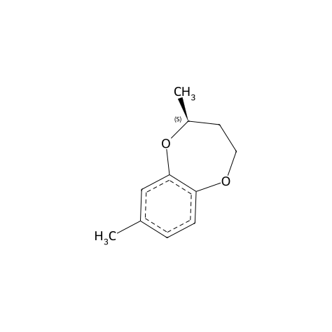 Cc1ccc2c(c1)O[C@@H](C)CCO2